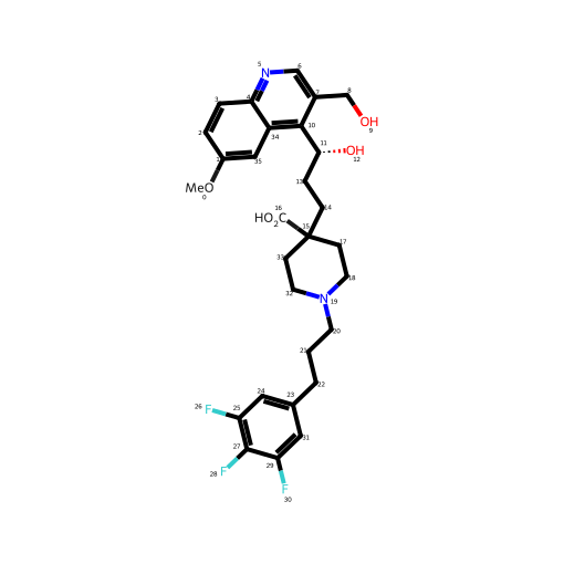 COc1ccc2ncc(CO)c([C@H](O)CCC3(C(=O)O)CCN(CCCc4cc(F)c(F)c(F)c4)CC3)c2c1